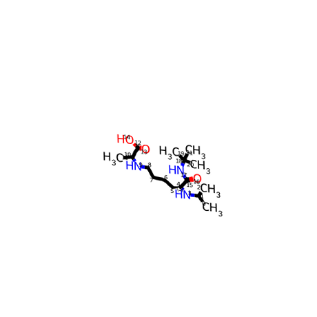 CC(C)N[C@@H](CCCCNC(C)C(=O)O)C(=O)NC(C)(C)C